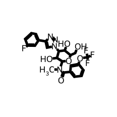 CN(C(=O)c1cccc(OC(F)(F)F)c1)C1OC(CO)C(O)C(n2cc(-c3cccc(F)c3)nn2)C1O